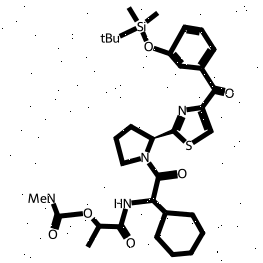 CNC(=O)OC(C)C(=O)NC(C(=O)N1CCC[C@H]1c1nc(C(=O)c2cccc(O[Si](C)(C)C(C)(C)C)c2)cs1)C1CCCCC1